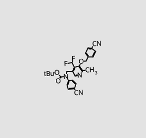 Cc1ncc(CN(C(=O)OC(C)(C)C)c2ccc(C#N)cc2)c(C(F)F)c1OCc1ccc(C#N)cc1